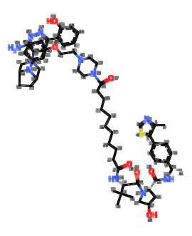 Cc1ncsc1-c1ccc([C@H](C)NC(=O)[C@@H]2C[C@@H](O)CN2C(=O)[C@@H](NC(=O)CCCCCCCCCC(=O)N2CCN(CCOc3cccc(N4C5CCC4CN(c4cc(-c6ccccc6O)nnc4N)C5)c3)CC2)C(C)(C)C)cc1